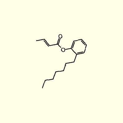 CC=CC(=O)Oc1ccccc1CCCCCCC